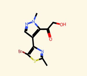 Cc1nc(-c2cnn(C)c2C(=O)CO)c(Br)s1